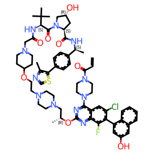 C=CC(=O)N1CCN(c2nc(O[C@H](C)CN3CCN(CCOC4CCN(CC(=O)N[C@H](C(=O)N5C[C@H](O)C[C@H]5C(=O)N[C@@H](C)c5ccc(-c6scnc6C)cc5)C(C)(C)C)CC4)CC3)nc3c(F)c(-c4cc(O)cc5ccccc45)c(Cl)cc23)CC1